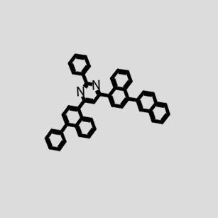 c1ccc(-c2nc(-c3ccc(-c4ccccc4)c4ccccc34)cc(-c3ccc(-c4ccc5ccccc5c4)c4ccccc34)n2)cc1